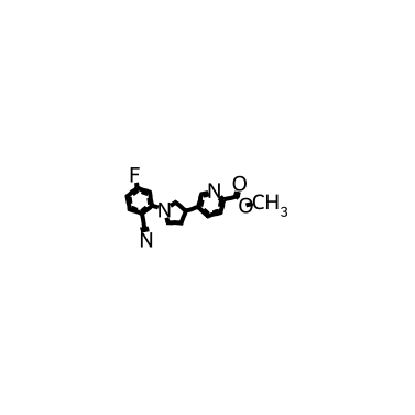 COC(=O)c1ccc(C2CCN(c3cc(F)ccc3C#N)C2)cn1